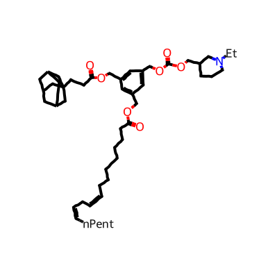 CCCCC/C=C\C/C=C\CCCCCCCC(=O)OCc1cc(COC(=O)CCC23CC4CC(CC(C4)C2)C3)cc(COC(=O)OCC2CCCN(CC)C2)c1